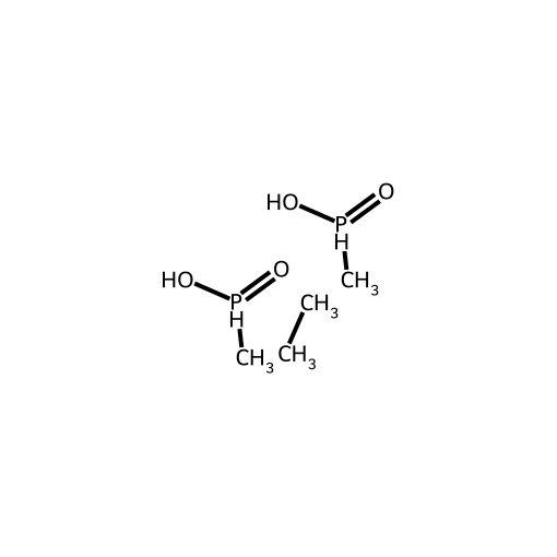 CC.C[PH](=O)O.C[PH](=O)O